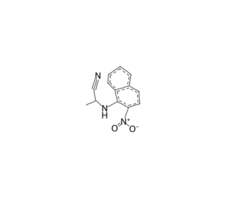 CC(C#N)Nc1c([N+](=O)[O-])ccc2ccccc12